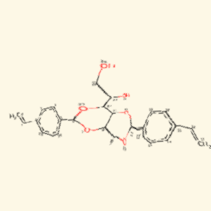 C=Cc1ccc(C2OC3COC(c4ccc(C=C)cc4)OC3C(C(O)CO)O2)cc1